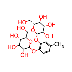 Cc1ccc(O[C@@H]2O[C@H](CO)[C@@H](O)[C@H](O)[C@H]2O)c(O[C@@H]2O[C@H](CO)[C@@H](O)[C@H](O)[C@H]2O)c1